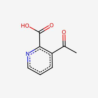 CC(=O)c1cccnc1C(=O)O